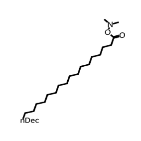 CCCCCCCCCCCCCCCCCCCCCCCCCCC(=O)ON(C)C